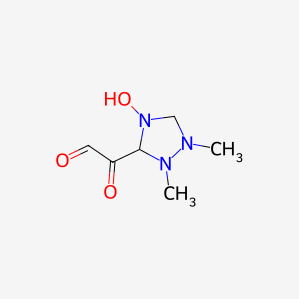 CN1CN(O)C(C(=O)C=O)N1C